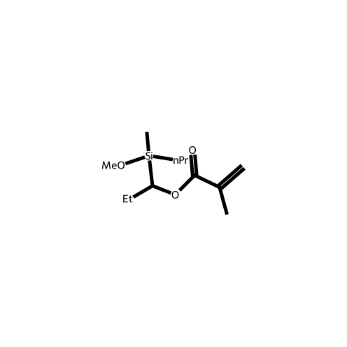 C=C(C)C(=O)OC(CC)[Si](C)(CCC)OC